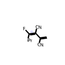 C=C(C#N)/C(C#N)=C(/F)C(C)C